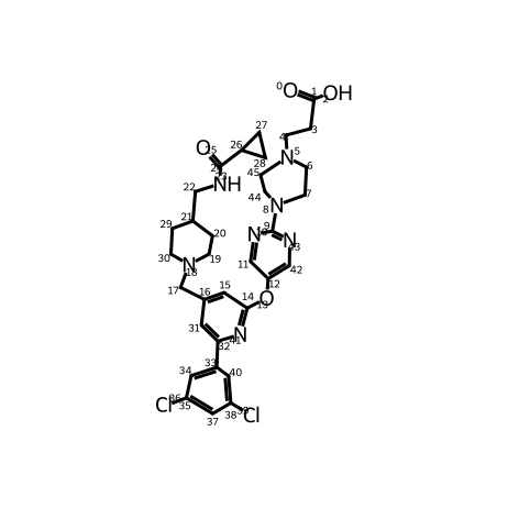 O=C(O)CCN1CCN(c2ncc(Oc3cc(CN4CCC(CNC(=O)C5CC5)CC4)cc(-c4cc(Cl)cc(Cl)c4)n3)cn2)CC1